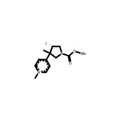 C[n+]1ccc(C2(C)CCN(C(=O)OC(C)(C)C)C2)cc1.[I-]